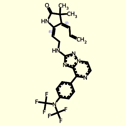 C=C/C=C1\C(=C/CNc2nc3c(-c4ccc(N(C(F)(F)F)C(F)(F)F)cc4)nccn3n2)NC(=O)C1(C)C